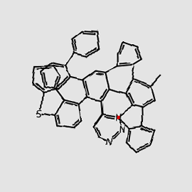 Cc1cc2c(c(-c3c(-c4ccccc4)cc(-c4ccccc4-c4ccccc4)c(-c4cccc5sc6ccccc6c45)c3-c3ccnnn3)c1C)Cc1ccccc1-2